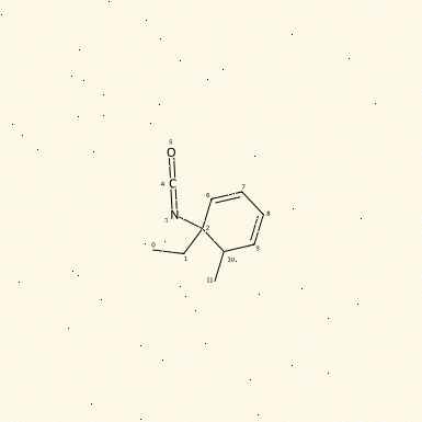 CCC1(N=C=O)C=CC=CC1C